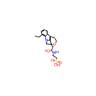 CCc1cccc2c3c4n(c12)CC4(CC(O)NCCS(=O)(=O)O)OCC3